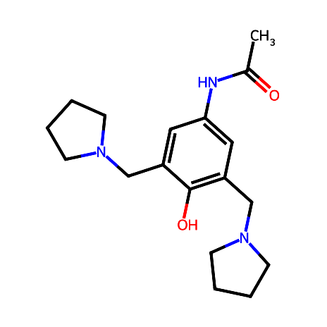 CC(=O)Nc1cc(CN2CCCC2)c(O)c(CN2CCCC2)c1